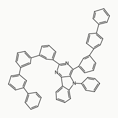 c1ccc(-c2ccc(-c3cccc(-c4nc(-c5cccc(-c6cccc(-c7cccc(-c8ccccc8)c7)c6)c5)nc5c6ccccc6n(-c6ccccc6)c45)c3)cc2)cc1